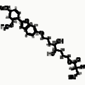 COc1ccc(-c2cc3ccc(OCCCC(O)C(O)CCCOC(=O)C(C)(CC(C)(C)C)C(C)(C)C)cc3o2)c(OC(F)(F)F)c1